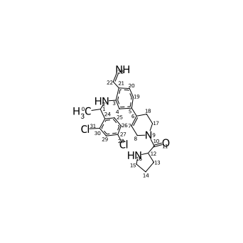 CC(Nc1cc(C2=CCN(C(=O)C3CCCN3)CC2)ccc1C=N)c1ccc(Cl)cc1Cl